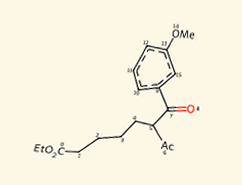 CCOC(=O)CCCCC(C(C)=O)C(=O)c1cccc(OC)c1